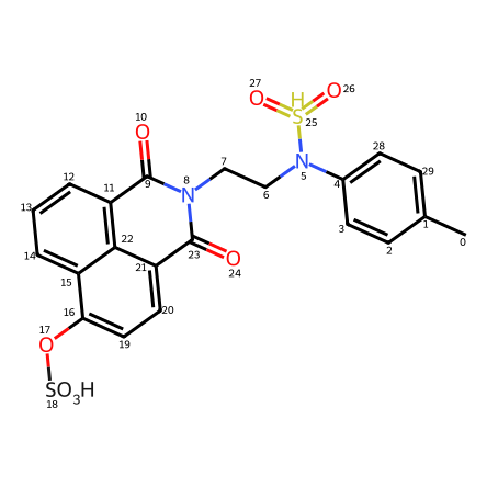 Cc1ccc(N(CCN2C(=O)c3cccc4c(OS(=O)(=O)O)ccc(c34)C2=O)[SH](=O)=O)cc1